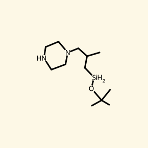 CC(C[SiH2]OC(C)(C)C)CN1CCNCC1